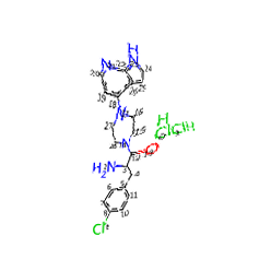 Cl.Cl.N[C@H](Cc1ccc(Cl)cc1)C(=O)N1CCN(c2ccnc3[nH]ccc23)CC1